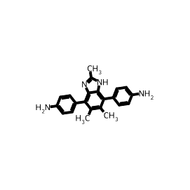 Cc1nc2c(-c3ccc(N)cc3)c(C)c(C)c(-c3ccc(N)cc3)c2[nH]1